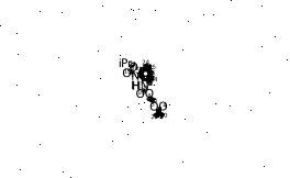 C=C(C)C(=O)OCCOC(=O)NCC1(C)CC(NC(=O)OC(C)C)CC(C)(C)C1